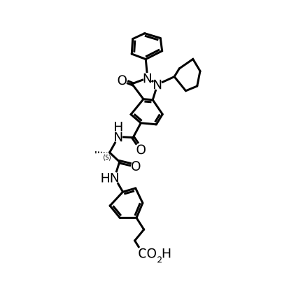 C[C@H](NC(=O)c1ccc2c(c1)c(=O)n(-c1ccccc1)n2C1CCCCC1)C(=O)Nc1ccc(CCC(=O)O)cc1